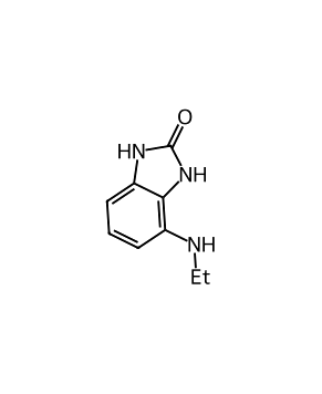 CCNc1cccc2[nH]c(=O)[nH]c12